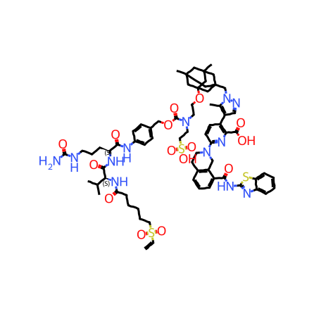 C=CS(=O)(=O)CCCCCC(=O)N[C@H](C(=O)N[C@@H](CCCNC(N)=O)C(=O)Nc1ccc(COC(=O)N(CCOC23CC4(C)CC(C)(CC(Cn5ncc(-c6ccc(N7CCc8cccc(C(=O)Nc9nc%10ccccc%10s9)c8C7)nc6C(=O)O)c5C)(C4)C2)C3)CCS(=O)(=O)O)cc1)C(C)C